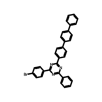 Brc1ccc(-c2nc(-c3ccccc3)nc(-c3ccc(-c4ccc(-c5ccccc5)cc4)cc3)n2)cc1